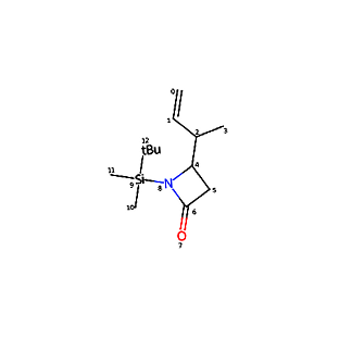 C=CC(C)C1CC(=O)N1[Si](C)(C)C(C)(C)C